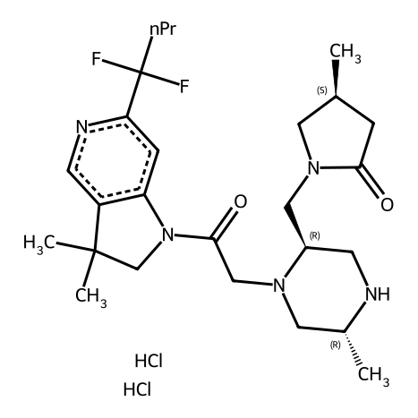 CCCC(F)(F)c1cc2c(cn1)C(C)(C)CN2C(=O)CN1C[C@@H](C)NC[C@@H]1CN1C[C@@H](C)CC1=O.Cl.Cl